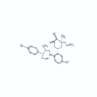 C=CC[C@@]1(C)C[C@H](c2cccc(Cl)c2)[C@H](C(C)C(C)C(SC(C)C)c2ccc(Cl)cc2)NC1=O